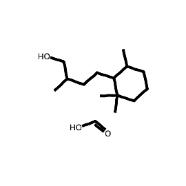 CC(CO)CCC1C(C)CCCC1(C)C.O=CO